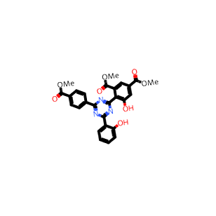 COC(=O)c1ccc(-c2nc(-c3ccccc3O)nc(-c3c(O)cc(C(=O)OC)cc3C(=O)OC)n2)cc1